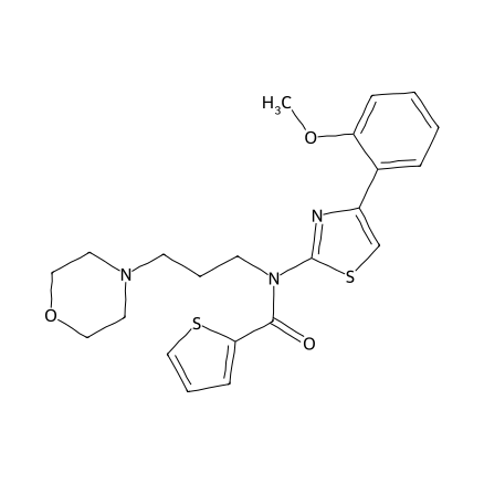 COc1ccccc1-c1csc(N(CCCN2CCOCC2)C(=O)c2cccs2)n1